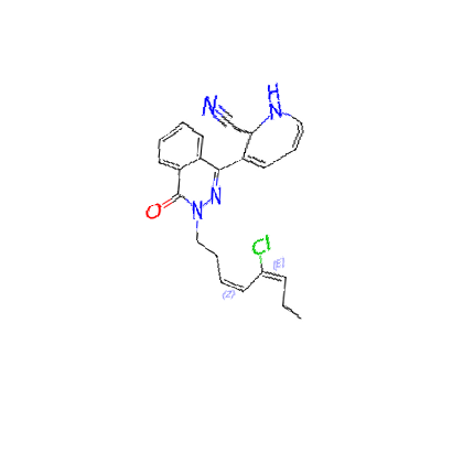 CC/C=C(Cl)\C=C/CCn1nc(C2=CC=CNC2C#N)c2ccccc2c1=O